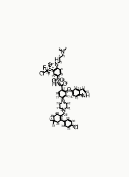 CN(C)CCCNc1ccc(S(=O)(=O)NC(=O)c2ccc(N3CCN(CC4=C(c5ccc(Cl)cc5)CC(C)(C)CC4)CC3)cc2Oc2ccc3[nH]ccc3c2)cc1[S+]([O-])C(F)(F)Cl